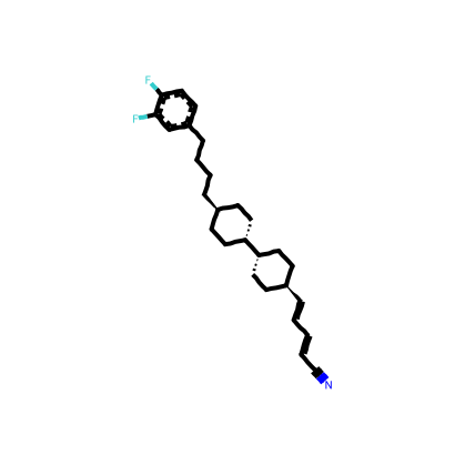 N#CC=CC=C[C@H]1CC[C@H]([C@H]2CC[C@H](CCCCc3ccc(F)c(F)c3)CC2)CC1